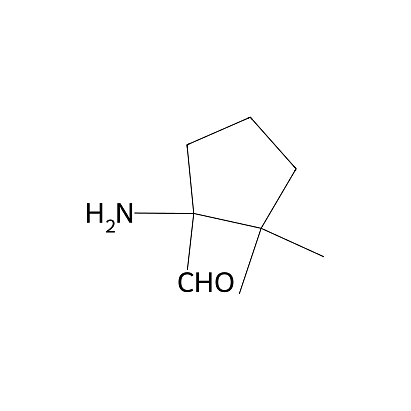 CC1(C)CCCC1(N)C=O